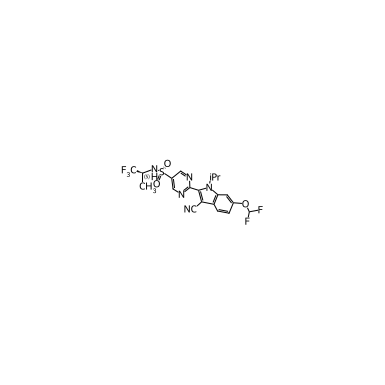 CC(C)n1c(-c2ncc(S(=O)(=O)N[C@@H](C)C(F)(F)F)cn2)c(C#N)c2ccc(OC(F)F)cc21